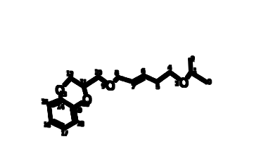 CC(C)OCC/C=C/COCC1COc2ccccc2O1